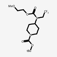 COCCOC(=O)N(CC(F)(F)F)C1CCN(C(=O)OC(C)(C)C)CC1